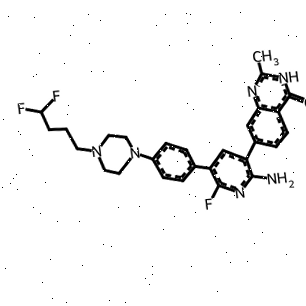 Cc1nc2cc(-c3cc(-c4ccc(N5CCN(CCCC(F)F)CC5)cc4)c(F)nc3N)ccc2c(=O)[nH]1